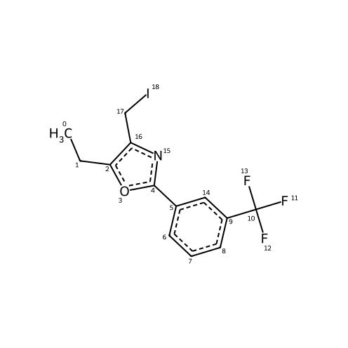 CCc1oc(-c2cccc(C(F)(F)F)c2)nc1CI